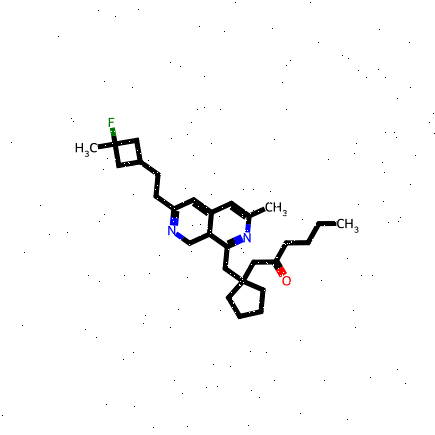 CCCCC(=O)CC1(CC2=NC(C)=CC3=CC(CCC4CC(C)(F)C4)=NCC32)CCCC1